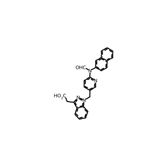 O=CN(c1ccc2ccccc2c1)c1ccc(Cn2nc(CC(=O)O)c3ccccc32)cn1